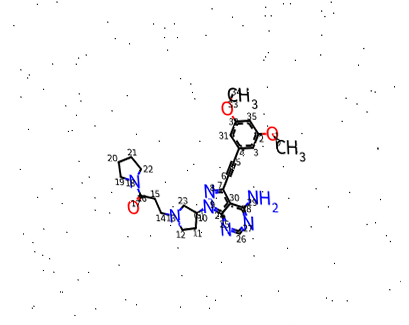 COc1cc(C#Cc2nn([C@H]3CCN(CCC(=O)N4CCCC4)C3)c3ncnc(N)c23)cc(OC)c1